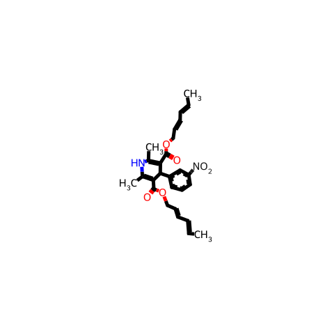 CC=CC=CCOC(=O)C1=C(C)NC(C)=C(C(=O)OCC=CC=CC)C1c1cccc([N+](=O)[O-])c1